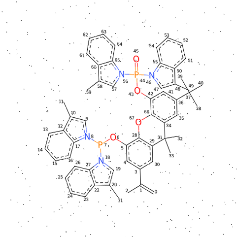 C=C(C)c1cc(OP(n2cc(C)c3ccccc32)n2cc(C)c3ccccc32)c2c(c1)C(C)(C)c1cc(C(C)(C)C)cc(OP(=O)(n3cc(C)c4ccccc43)n3cc(C)c4ccccc43)c1O2